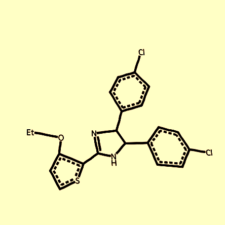 CCOc1ccsc1C1=NC(c2ccc(Cl)cc2)C(c2ccc(Cl)cc2)N1